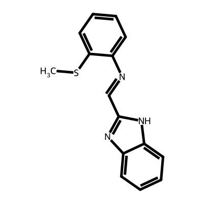 CSc1ccccc1/N=C/c1nc2ccccc2[nH]1